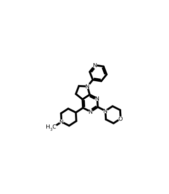 CN1CCC(c2nc(N3CCOCC3)nc3c2CCN3c2cccnc2)CC1